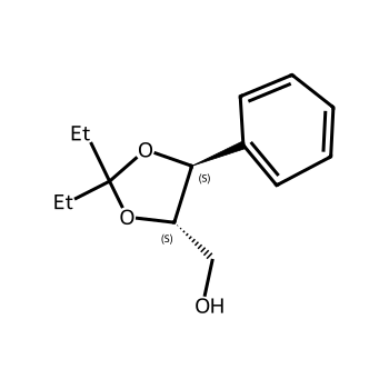 CCC1(CC)O[C@@H](CO)[C@H](c2ccccc2)O1